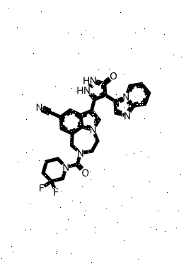 N#Cc1cc2c3c(c1)c(-c1[nH][nH]c(=O)c1-c1cnc4ccccn14)cn3CCN(C(=O)N1CCCC(F)(F)C1)C2